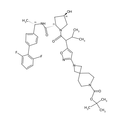 CC(C)C(C(=O)N1C[C@H](O)C[C@H]1C(=O)N[C@@H](C)c1ccc(-c2c(F)cccc2F)cc1)c1cc(N2CC3(CCN(C(=O)OC(C)(C)C)CC3)C2)no1